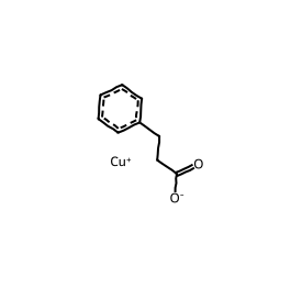 O=C([O-])CCc1ccccc1.[Cu+]